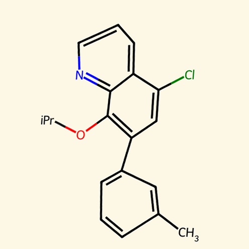 Cc1cccc(-c2cc(Cl)c3cccnc3c2OC(C)C)c1